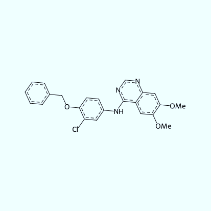 COc1cc2ncnc(Nc3ccc(OCc4ccccc4)c(Cl)c3)c2cc1OC